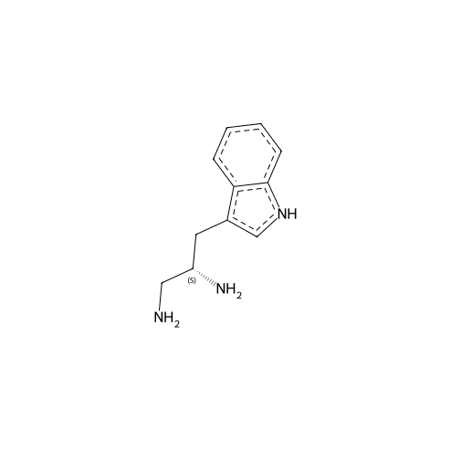 NC[C@@H](N)Cc1c[nH]c2ccccc12